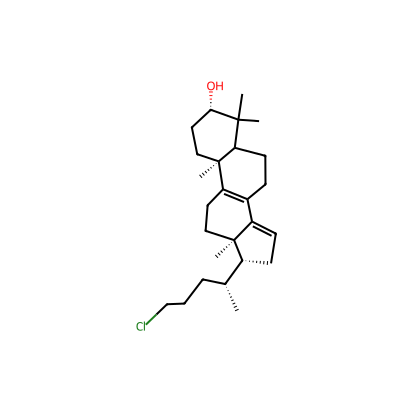 C[C@H](CCCCl)[C@H]1CC=C2C3=C(CC[C@@]21C)[C@@]1(C)CC[C@H](O)C(C)(C)C1CC3